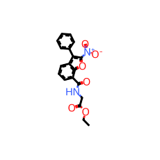 CCOC(=O)CNC(=O)c1cccc2c(-c3ccccc3)c([N+](=O)[O-])oc12